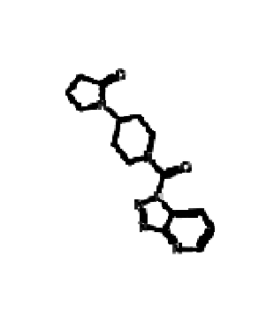 O=C1CCCN1C1CCN(C(=O)n2nnc3ncccc32)CC1